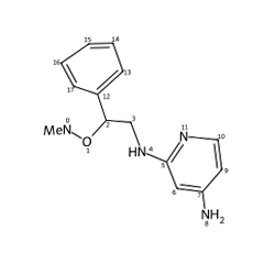 CNOC(CNc1cc(N)ccn1)c1ccccc1